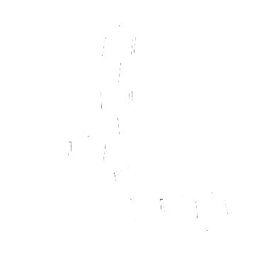 C[C@H](OC(=O)CC(Cc1ccc(-c2cc(Cl)ccc2F)cc1)NC(=O)OC(C)(C)C)OC(=O)OC1CCCCC1